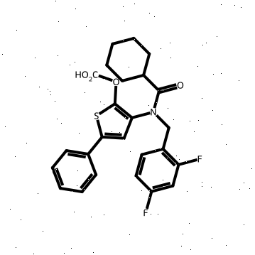 O=C(O)Oc1sc(-c2ccccc2)cc1N(Cc1ccc(F)cc1F)C(=O)C1CCCCC1